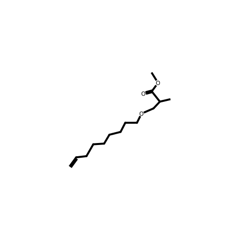 C=CCCCCCCCOCC(C)C(=O)OC